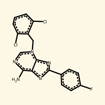 Nc1ncn(Cc2c(Cl)cccc2Cl)c2nc(-c3ccc(F)cc3)nc1-2